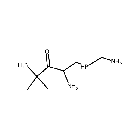 BC(C)(C)C(=O)C(N)CPCN